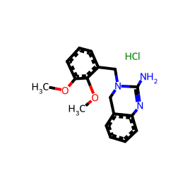 COc1cccc(CN2Cc3ccccc3N=C2N)c1OC.Cl